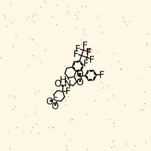 O=C(N1CC[C@]2(S(=O)(=O)c3ccc(F)cc3)c3ccc(C(F)(C(F)(F)F)C(F)(F)F)cc3CC[C@H]12)C1(F)CCS(=O)(=O)CC1